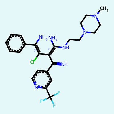 CN1CCN(CCN/C(N)=C(C(=N)c2ccnc(C(F)(F)F)c2)/C(Cl)=C(\N)c2ccccc2)CC1